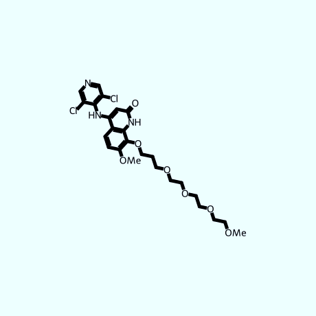 COCCOCCOCCOCCCOc1c(OC)ccc2c(Nc3c(Cl)cncc3Cl)cc(=O)[nH]c12